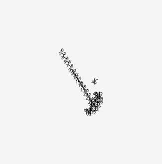 CCCCCCCCCCCCCCCCCCCCCCCCCC[n+]1c2cc(N(C)C)ccc2cc2ccc(N(C)C)cc21.[I-]